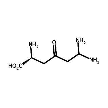 NC(N)CC(=O)C[C@H](N)C(=O)O